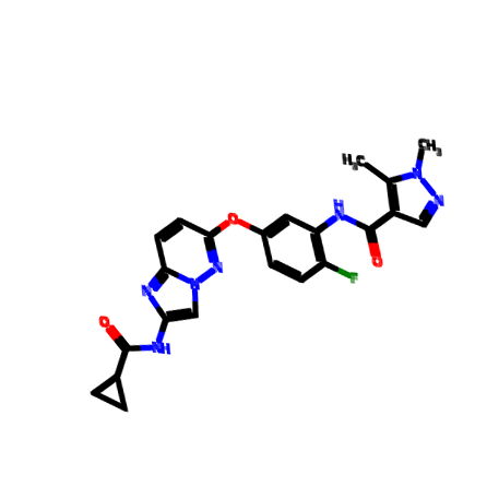 Cc1c(C(=O)Nc2cc(Oc3ccc4nc(NC(=O)C5CC5)cn4n3)ccc2F)cnn1C